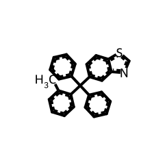 Cc1ccccc1C(c1ccccc1)(c1ccccc1)c1ccc2scnc2c1